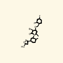 Cc1ccc(-c2cc(O)on2)cc1-n1c(C)cc(OCc2ccc(F)cc2F)c(Br)c1=O